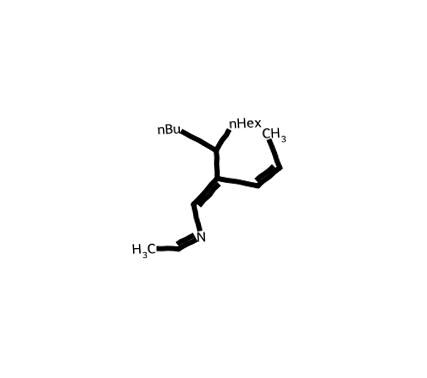 C\C=C/C(=C\N=C/C)C(CCCC)CCCCCC